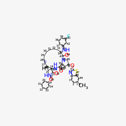 Cc1ccc2nc(O[C@@H]3C[C@H]4C(=O)N[C@]5(C(=O)NOc6ccccc6)C[C@H]5/C=C\CCCCC[C@H](Nc5cccc(F)c5)C(=O)N4C3)sc2c1